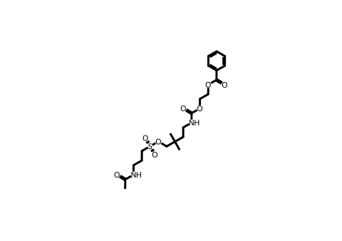 CC(=O)NCCCS(=O)(=O)OCC(C)(C)CCNC(=O)OCCOC(=O)c1ccccc1